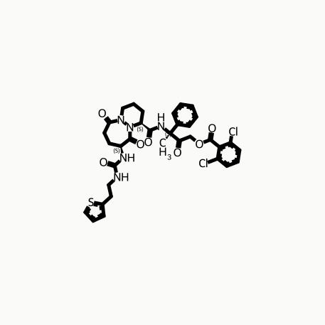 C[C@@](NC(=O)[C@@H]1CCCN2C(=O)CC[C@H](NC(=O)NCCc3cccs3)C(=O)N12)(C(=O)COC(=O)c1c(Cl)cccc1Cl)c1ccccc1